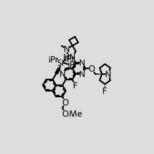 COCOc1cc(-c2ncc3c(NCC4(N(C)C)CCC4)nc(OC[C@@]45CCCN4C[C@H](F)C5)nc3c2F)c2c(C#C[Si](C(C)C)(C(C)C)C(C)C)cccc2c1